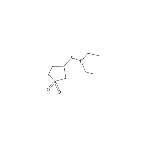 CCP(CC)SC1CCS(=O)(=O)C1